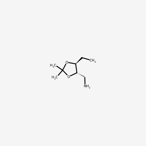 CC[C@@H]1OC(C)(C)O[C@H]1CN